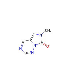 Cn1cc2cncnn2c1=O